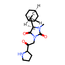 CN1C(=O)N(CC(=O)C2CCCN2)C(=O)[C@@]1(C)[C@H]1C[C@H]2CC[C@@H]1CC2